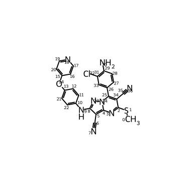 CSc1nc2c(C#N)c(Nc3ccc(Oc4ccncc4)cc3)nn2c(-c2ccc(N)c(Cl)c2)c1C#N